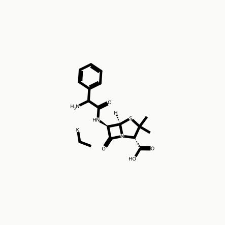 CC1(C)S[C@@H]2[C@H](NC(=O)C(N)c3ccccc3)C(=O)N2[C@H]1C(=O)O.C[CH2][K]